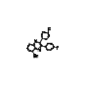 Fc1ccc(-c2nc3cccc(Br)c3nc2-c2ccc(F)cc2)cc1